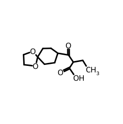 CCC(C(=O)O)C(=O)C1CCC2(CC1)OCCO2